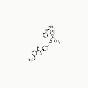 CCC(COCCC1CCN(C(=O)Nc2cccc(SC)c2)CC1)n1cnc2c(N)nc3ccccc3c21